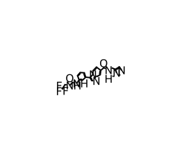 Cn1cncc1CNC(=O)c1ccn2c(-c3cccc(NC(=O)NCC(F)(F)F)c3)cnc2c1